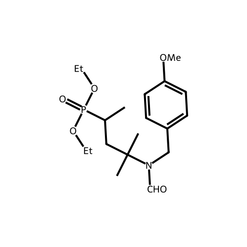 CCOP(=O)(OCC)C(C)CC(C)(C)N(C=O)Cc1ccc(OC)cc1